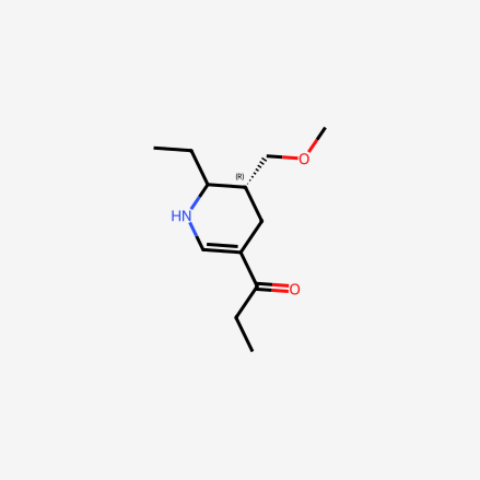 CCC(=O)C1=CNC(CC)[C@H](COC)C1